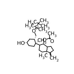 C=C1CCC2[C@H](OC(C)=O)C([C@@]3(C)CC[C@H](O)C[C@@H]3CO[Si](C)(C)C(C)(C)C)CC[C@]12C